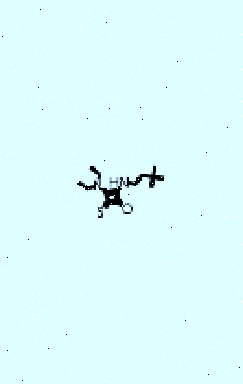 CCN(CC)c1c(NCCC(C)(C)C)c(=O)c1=S